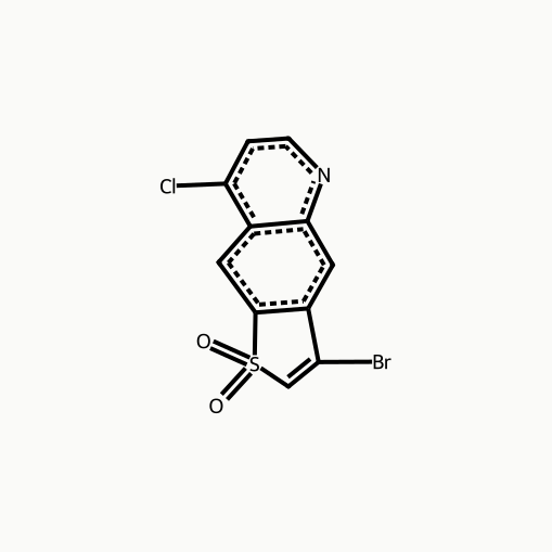 O=S1(=O)C=C(Br)c2cc3nccc(Cl)c3cc21